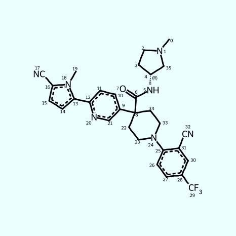 CN1CC[C@@H](NC(=O)C2(c3ccc(-c4ccc(C#N)n4C)nc3)CCN(c3ccc(C(F)(F)F)cc3C#N)CC2)C1